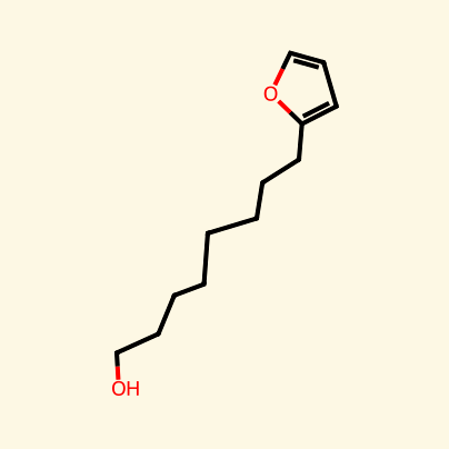 OCCCCCCCCc1ccco1